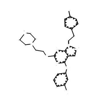 Cc1ccc(CCn2ncc3c(Nc4cccc(Cl)c4)nc(SCCN4CCOCC4)nc32)cc1